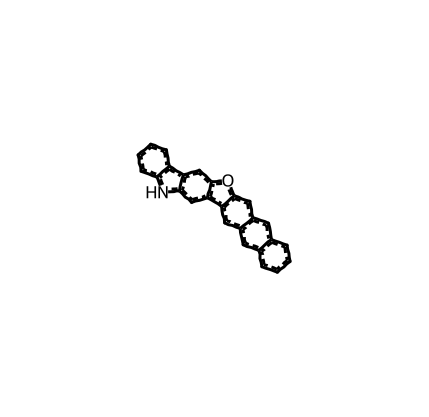 c1ccc2cc3cc4c(cc3cc2c1)oc1cc2c(cc14)[nH]c1ccccc12